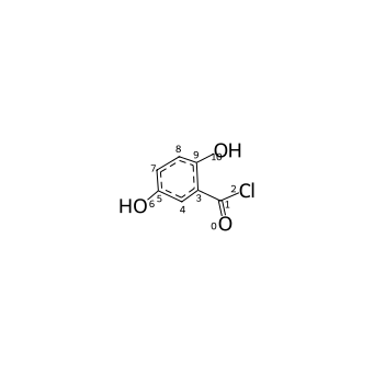 O=C(Cl)c1cc(O)ccc1O